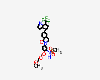 COCCOCOc1ccc(N2CCc3cc(-c4ccc(C(F)(F)F)c5ncccc45)ccc3C2=O)cc1NS(C)(=O)=O